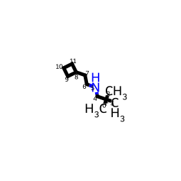 CC(C)(C)CNCCC1CCC1